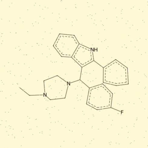 CCN1CCN(C(c2ccc(F)cc2)c2c(-c3ccccc3)[nH]c3ccccc23)CC1